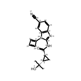 CC(C)(O)[C@H]1C[C@@H]1C(=O)Nc1nc2ccc(C#N)cc2n1C1=CC=C1